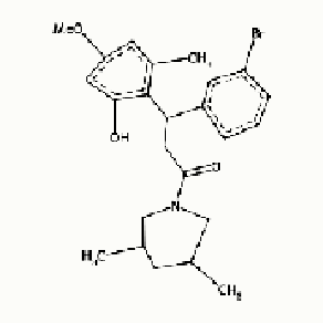 COc1cc(C)c(C(CC(=O)N2CC(C)CC(C)C2)c2cccc(Br)c2)c(O)c1